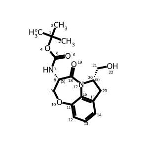 CC(C)(C)OC(=O)N[C@H]1COc2cccc3c2N(C1=O)[C@H](CO)C3